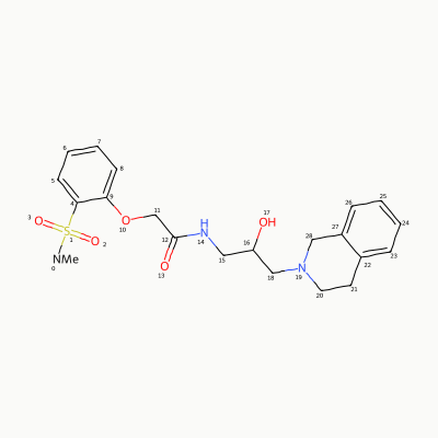 CNS(=O)(=O)c1ccccc1OCC(=O)NCC(O)CN1CCc2ccccc2C1